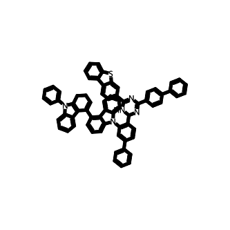 C1=C(c2cccc3c2c2ccccc2n3-c2cc(-c3ccccc3)ccc2C2N=C(c3ccc(-c4ccccc4)cc3)N=C(c3ccc4c(c3)sc3ccccc34)N2)c2c(n(-c3ccccc3)c3ccccc23)CC1